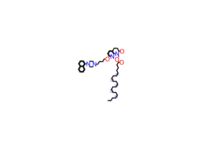 CCC/C=C\C/C=C\C/C=C\C/C=C\C/C=C\CCCC(=O)OCN1C(=O)CCc2ccc(OCCCCN3CCN(c4cccc5ccccc45)CC3)nc21